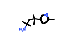 Cc1ccc(C(C)(C)CC(C)(C)N)cn1